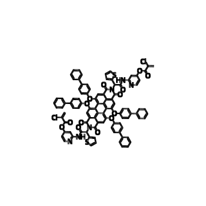 C=C(Cl)C(=O)Oc1ccnc(NC(=O)C(c2cccs2)N2C(=O)c3cc(Oc4ccc(-c5ccccc5)cc4)c4c5c(Oc6ccc(-c7ccccc7)cc6)cc6c7c(cc(Oc8ccc(-c9ccccc9)cc8)c(c8c(Oc9ccc(-c%10ccccc%10)cc9)cc(c3c48)C2=O)c75)C(=O)N(C(C(=O)Nc2cc(OC(=O)C(=C)Cl)ccn2)c2cccs2)C6=O)c1